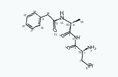 CC(C)C[C@H](N)C(=O)NC(=O)[C@H](C)NC(=O)Cc1ccccc1